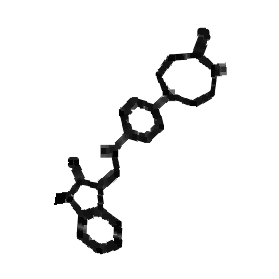 O=C1CCN(c2ccc(NC=C3C(=O)Nc4ccccc43)cc2)CCN1